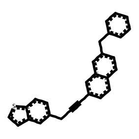 C(#Cc1ccc2ccc(Cc3ccccc3)cc2c1)Cc1ccc2sccc2c1